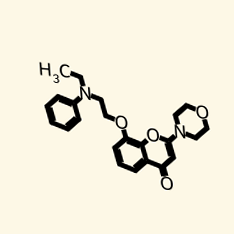 CCN(CCOc1cccc2c(=O)cc(N3CCOCC3)oc12)c1ccccc1